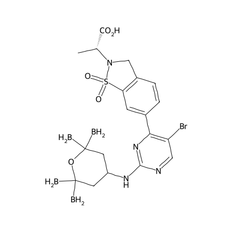 BC1(B)CC(Nc2ncc(Br)c(-c3ccc4c(c3)S(=O)(=O)N([C@H](C)C(=O)O)C4)n2)CC(B)(B)O1